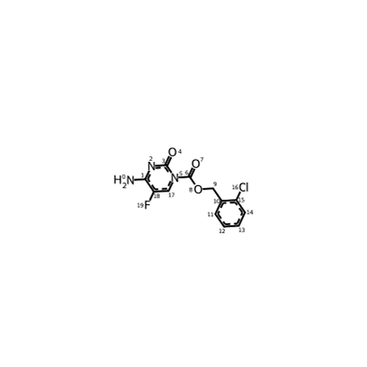 Nc1nc(=O)n(C(=O)OCc2ccccc2Cl)cc1F